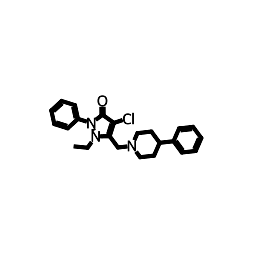 CCn1c(CN2CCC(c3ccccc3)CC2)c(Cl)c(=O)n1-c1ccccc1